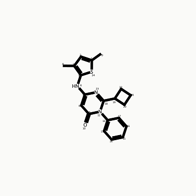 Cc1cc(C)c(Nc2cc(=O)n(-c3ccccc3)c(C3CCC3)n2)s1